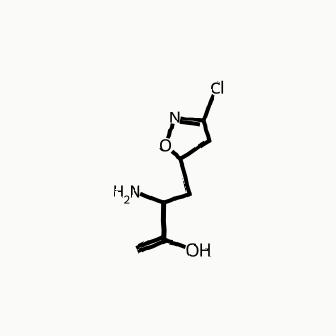 C=C(O)C(N)CC1CC(Cl)=NO1